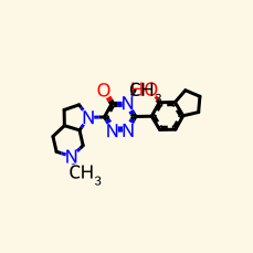 CN1CCC2CCN(c3nnc(-c4ccc5c(c4O)CCC5)n(C)c3=O)C2C1